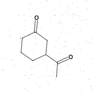 CC(=O)C1CC[CH]C(=O)C1